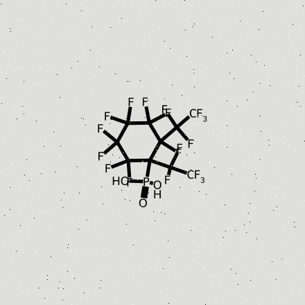 O=P(O)(O)C1(C(F)(F)C(F)(F)F)C(F)(F)C(F)(F)C(F)(F)C(F)(F)C1(F)C(F)(F)C(F)(F)F